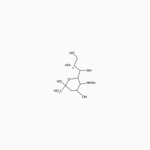 CC(=O)NC1C(O)CC(O)(C(=O)O)OC1C(O)[C@H](O)CO